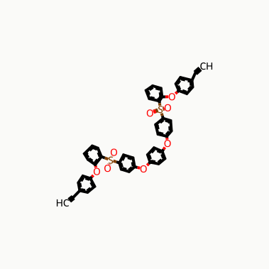 C#Cc1ccc(Oc2ccccc2S(=O)(=O)c2ccc(Oc3ccc(Oc4ccc(S(=O)(=O)c5ccccc5Oc5ccc(C#C)cc5)cc4)cc3)cc2)cc1